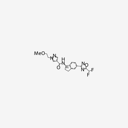 COCCn1cc(C(=O)N[C@@H]2CCc3cc(-c4noc(C(F)F)n4)ccc32)cn1